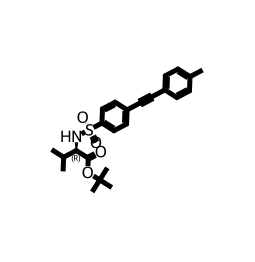 Cc1ccc(C#Cc2ccc(S(=O)(=O)N[C@@H](C(=O)OC(C)(C)C)C(C)C)cc2)cc1